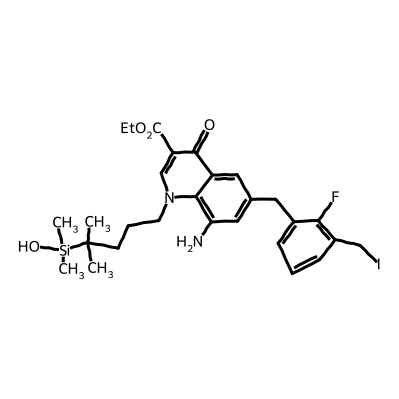 CCOC(=O)c1cn(CCCC(C)(C)[Si](C)(C)O)c2c(N)cc(Cc3cccc(CI)c3F)cc2c1=O